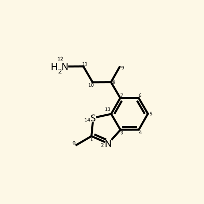 Cc1nc2cccc(C(C)CCN)c2s1